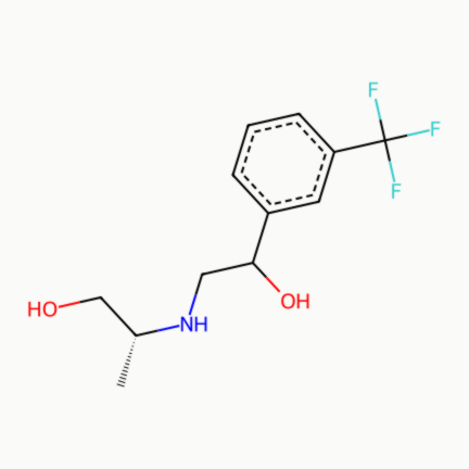 C[C@H](CO)NCC(O)c1cccc(C(F)(F)F)c1